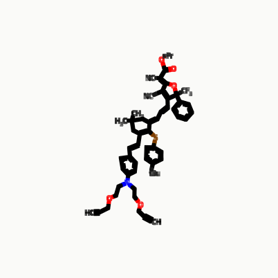 C#CCOCCN(CCOCC#C)c1ccc(/C=C/C2=C(Sc3ccc(C(C)(C)C)cc3)C(=C/C=C/C3=C(C#N)C(=C(\C#N)C(=O)OCCC)/OC3(c3ccccc3)C(F)(F)F)/CC(C)(C)C2)cc1